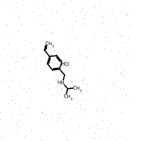 C=Cc1ccc(CNC(C)C)cc1.Cl